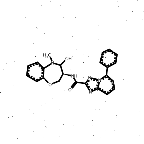 CN1c2ccccc2OC[C@H](NC(=O)c2nc3cccc(-c4ccccc4)n3n2)C1O